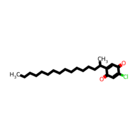 CCCCCCCCCCCCCCC(C)C1=CC(=O)C(Cl)=CC1=O